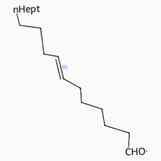 CCCCCCCCCC/C=C/CCCCC[C]=O